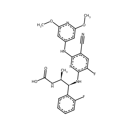 COc1cc(Nc2nc(N[C@@H](c3ccccc3F)[C@H](C)NC(=O)O)c(F)cc2C#N)cc(OC)n1